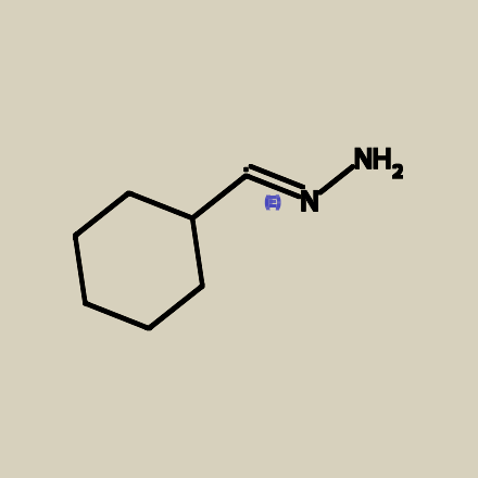 N/N=[C]/C1CCCCC1